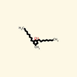 CCCCCCCCCc1cc(C)cc(CCCCCCCCC)c1O